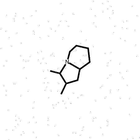 CC1CC2CCCCN2C1C